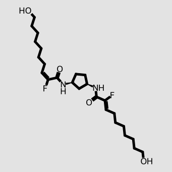 O=C(N[C@@H]1CC[C@H](NC(=O)/C(F)=C\CCCCCCCO)C1)/C(F)=C/CCCCCCCO